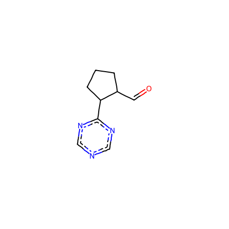 O=CC1CCCC1c1ncncn1